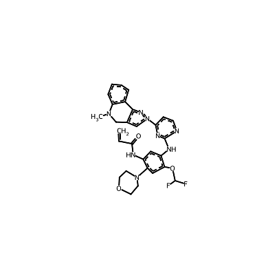 C=CC(=O)Nc1cc(Nc2nccc(-n3cc4c(n3)-c3ccccc3N(C)C4)n2)c(OC(F)F)cc1N1CCOCC1